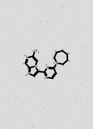 FC(F)(F)c1cn2c(-c3nccc(N4CCCCCC4)n3)cnc2cn1